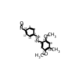 COc1cc(N=Nc2ccc(N=O)cc2)c(OC)cc1C